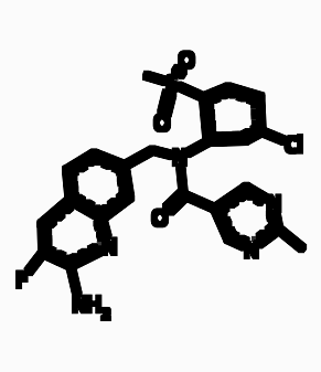 Cc1ncc(C(=O)N(Cc2ccc3cc(F)c(N)nc3c2)c2cc(Cl)ccc2S(C)(=O)=O)cn1